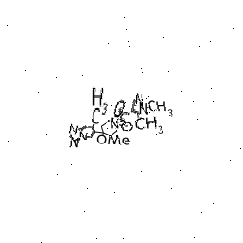 COC1(c2cn3ncnc3cc2C)CCN(S(=O)(=O)c2cnn(C)c2C)CC1